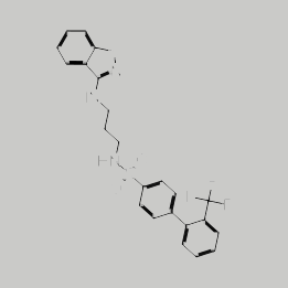 O=S(=O)(NCCCNc1nsc2ccccc12)c1ccc(-c2ccccc2C(F)(F)F)cc1